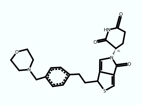 O=C1CC[C@H](N2C=C3C(=CSC3CCc3ccc(CN4CCOCC4)cc3)C2=O)C(=O)N1